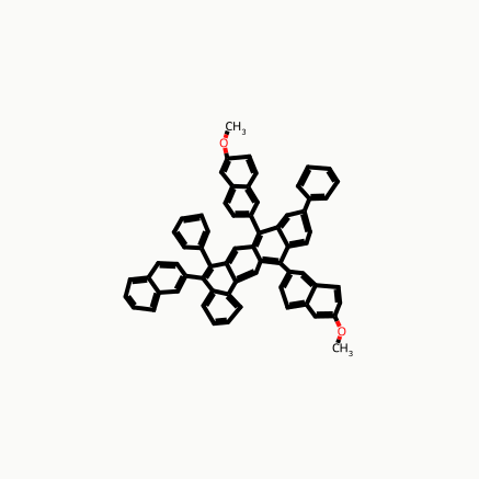 COc1ccc2cc(-c3c4cc(-c5ccccc5)ccc4c(-c4ccc5cc(OC)ccc5c4)c4cc5c(cc34)c(-c3ccccc3)c(-c3ccc4ccccc4c3)c3ccccc35)ccc2c1